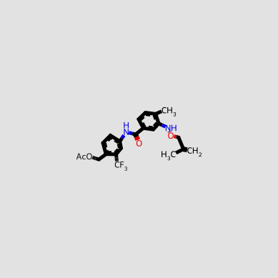 C=C(C)CONc1cc(C(=O)Nc2ccc(COC(C)=O)c(C(F)(F)F)c2)ccc1C